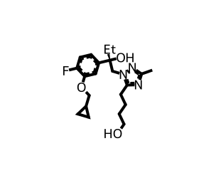 CC[C@@](O)(Cn1nc(C)nc1CCCCO)c1ccc(F)c(OCC2CC2)c1